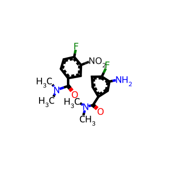 CN(C)C(=O)c1ccc(F)c(N)c1.CN(C)C(=O)c1ccc(F)c([N+](=O)[O-])c1